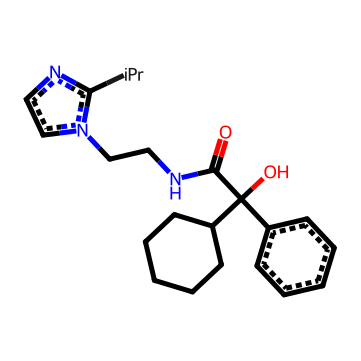 CC(C)c1nccn1CCNC(=O)C(O)(c1ccccc1)C1CCCCC1